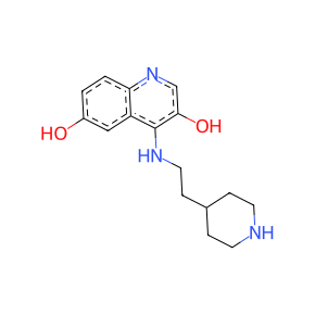 Oc1ccc2ncc(O)c(NCCC3CCNCC3)c2c1